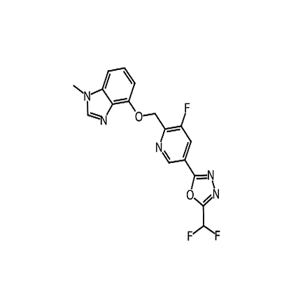 Cn1cnc2c(OCc3ncc(-c4nnc(C(F)F)o4)cc3F)cccc21